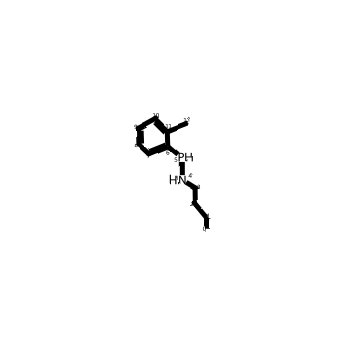 CCCCNPc1ccccc1C